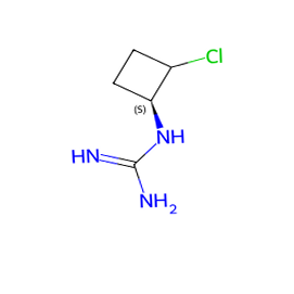 N=C(N)N[C@H]1CCC1Cl